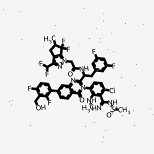 CNc1c(-n2c(C(Cc3cc(F)cc(F)c3)NC(=O)Cn3nc(C(F)F)c4c3C(F)(F)C(C)C4)nc3cc(-c4ccc(F)c(CO)c4F)ccc3c2=O)ccc(Cl)c1C(=N)N[S+](C)[O-]